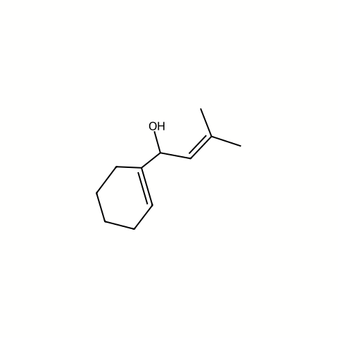 CC(C)=CC(O)C1=CCCCC1